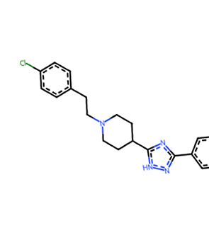 Clc1ccc(CCN2CCC(c3nc(-c4cccc(Cl)c4)n[nH]3)CC2)cc1